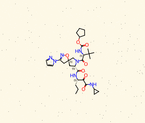 CCC[C@H](NC(=O)[C@@H]1C[C@]2(CC(n3cccn3)=NO2)CN1C(=O)[C@@H](NC(=O)OC1CCCC1)C(C)(C)C)C(=O)C(=O)NC1CC1